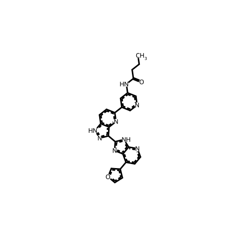 CCCC(=O)Nc1cncc(-c2ccc3[nH]nc(-c4nc5c(-c6ccoc6)ccnc5[nH]4)c3n2)c1